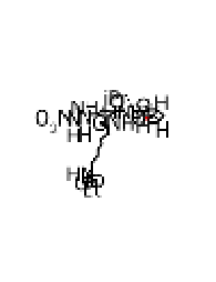 CCS(=O)(=O)NCCCCCCCC(=O)N[C@@H](CCCNC(=N)N[N+](=O)[O-])C(=O)N[C@@H](CC(C)C)B1O[C@@H]2C[C@@H]3C[C@@H](C3(C)C)[C@]2(C)O1